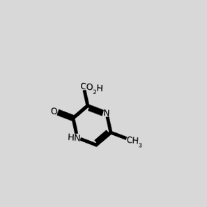 Cc1c[nH]c(=O)c(C(=O)O)n1